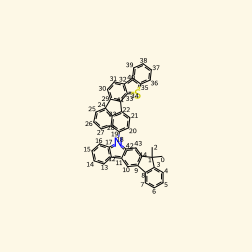 CC1(C)c2ccccc2-c2cc3c4ccccc4n(-c4ccc5c6c(cccc46)-c4ccc6c(sc7ccccc76)c4-5)c3cc21